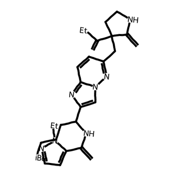 C=C(NC(CCCC(C)CC)c1cn2nc(CC3(C(=C)CC)CCNC3=C)ccc2n1)c1ccnn1CC